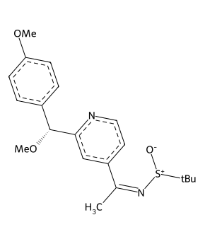 COc1ccc([C@@H](OC)c2cc(/C(C)=N\[S+]([O-])C(C)(C)C)ccn2)cc1